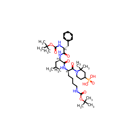 CC(C)C[C@@H](NC(=O)[C@@H](Cc1ccccc1)NC(=O)OC(C)(C)C)C(=O)N[C@H](CCCCNC(=O)OC(C)(C)C)C(=O)N1CCC(P(=O)(O)O)CC1(C)C